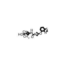 CC(C)(O)C12CC(NC(=O)N3CC(Oc4cccc5scnc45)C3)(C1)C2